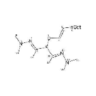 CCCCCCCCC=COC(/C(C)=N/N(C)C)/C(C)=N/N(C)C